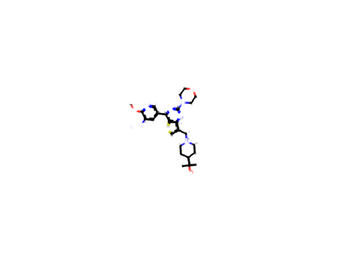 COc1ncc(-c2nc(N3CCOCC3)nc3c(CN4CCC(C(C)(C)O)CC4)csc23)cc1N